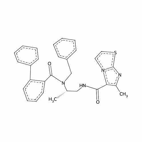 Cc1nc2sccn2c1C(=O)NC[C@H](C)N(Cc1ccccc1)C(=O)c1ccccc1-c1ccccc1